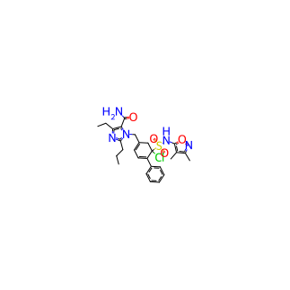 CCCc1nc(CC)c(C(N)=O)n1CC1=CC=C(c2ccccc2)C(Cl)(S(=O)(=O)Nc2onc(C)c2C)C1